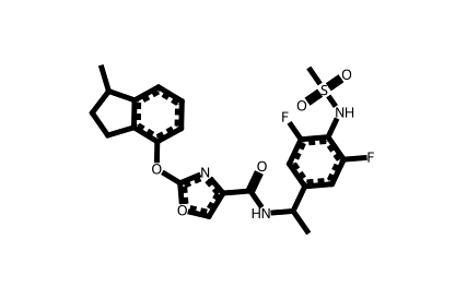 CC1CCc2c(Oc3nc(C(=O)NC(C)c4cc(F)c(NS(C)(=O)=O)c(F)c4)co3)cccc21